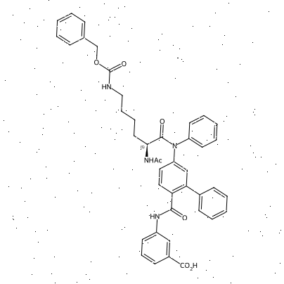 CC(=O)N[C@@H](CCCCNC(=O)OCc1ccccc1)C(=O)N(c1ccccc1)c1ccc(C(=O)Nc2cccc(C(=O)O)c2)c(-c2ccccc2)c1